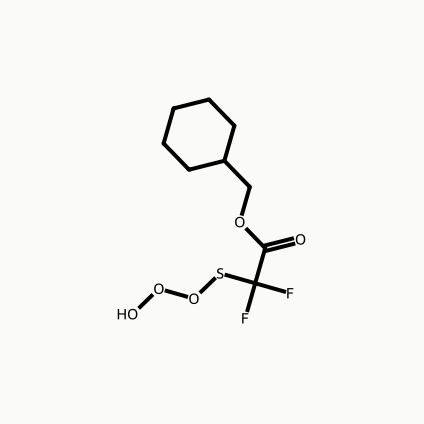 O=C(OCC1CCCCC1)C(F)(F)SOOO